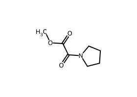 COC(=O)C(=O)N1CCCC1